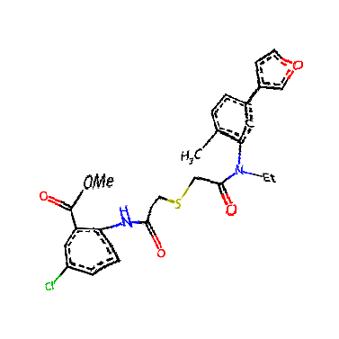 CCN(C(=O)CSCC(=O)Nc1ccc(Cl)cc1C(=O)OC)c1cc(-c2ccoc2)ccc1C